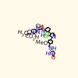 COc1cc(-c2nccc(-c3cccc(NC(=O)c4nc5c(n4C)CCN(CC(C)(C)C(=O)O)C5)c3Cl)c2Cl)ccc1CNC[C@H]1CCC(=O)N1